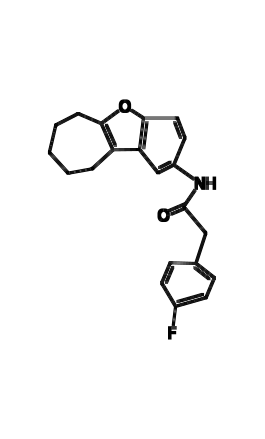 O=C(Cc1ccc(F)cc1)Nc1ccc2oc3c(c2c1)CCCCC3